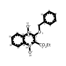 CCOC(=O)c1c(OCc2ccccc2)[n+]([O-])c2ccccc2[n+]1[O-]